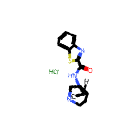 Cl.O=C(N[C@H]1CN2CCC1CC2)c1nc2ccccc2s1